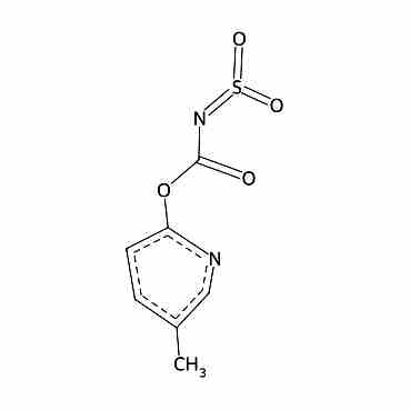 Cc1ccc(OC(=O)N=S(=O)=O)nc1